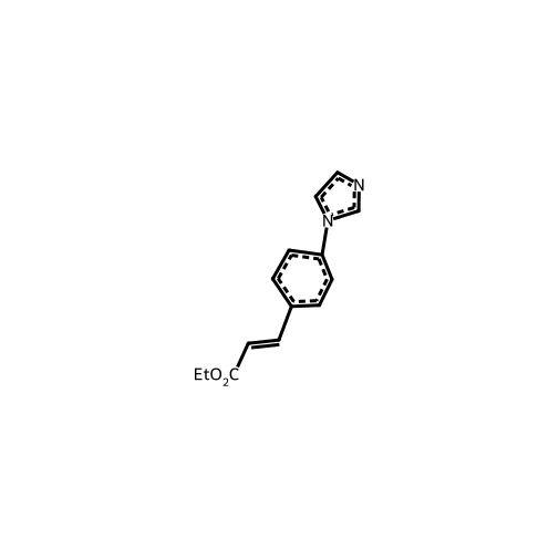 CCOC(=O)C=Cc1ccc(-n2ccnc2)cc1